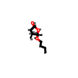 CCCCO[C@@]1(C)OC(=O)C[C@@H]1C